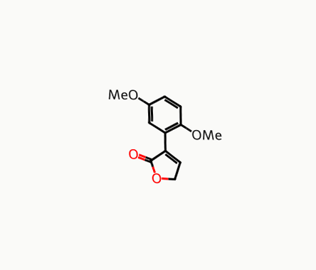 COc1ccc(OC)c(C2=CCOC2=O)c1